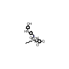 CCCCCN1C(=O)/C(=C\c2ccc(Nc3ccc(O)cc3)cc2)OC1=Nc1c(OC)cc(OC)cc1OC